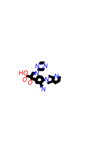 N#Cc1cc2c(=O)c(C(=O)O)cn(-c3cnccn3)c2cc1N1Cc2cccnc2C1